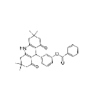 CC1(C)CC(=O)C2=C(C1)NC1=C(C(=O)CC(C)(C)C1)C2c1cccc(OC(=O)c2ccccc2)c1